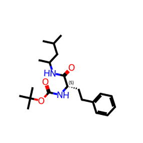 CC(C)CC(C)NC(=O)[C@H](CCc1ccccc1)NC(=O)OC(C)(C)C